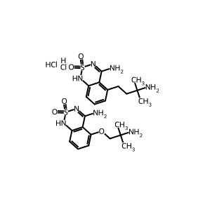 CC(C)(N)CCc1cccc2c1C(N)=NS(=O)(=O)N2.CC(C)(N)COc1cccc2c1C(N)=NS(=O)(=O)N2.Cl.Cl